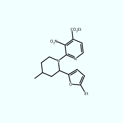 CCOC(=O)c1ccnc(N2CCC(C)CC2c2ccc(CC)o2)c1[N+](=O)[O-]